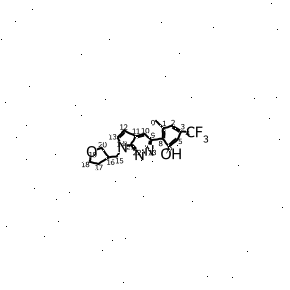 Cc1cc(C(F)(F)F)cc(O)c1-c1cc2ccn(CC3CCOC3)c2nn1